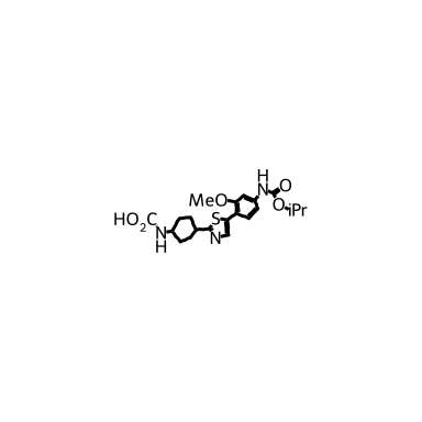 COc1cc(NC(=O)OC(C)C)ccc1-c1cnc(C2CCC(NC(=O)O)CC2)s1